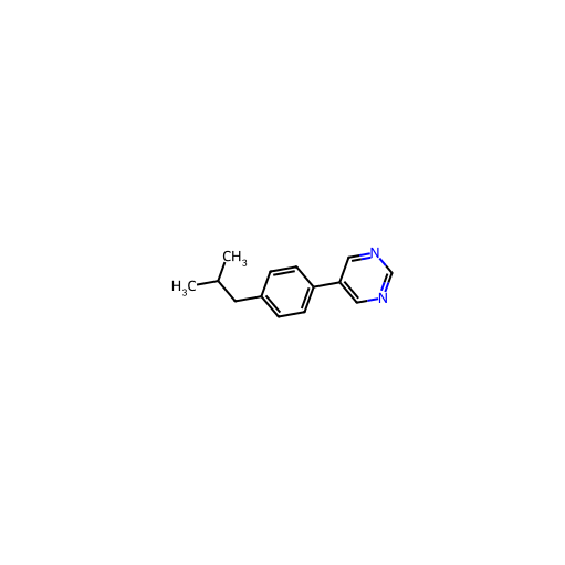 CC(C)Cc1ccc(-c2cncnc2)cc1